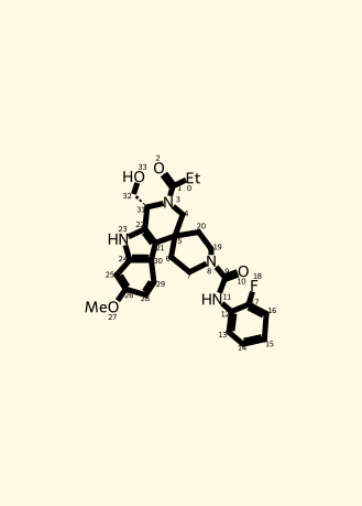 CCC(=O)N1CC2(CCN(C(=O)Nc3ccccc3F)CC2)c2c([nH]c3cc(OC)ccc23)[C@@H]1CO